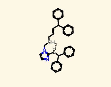 B(c1nccn1C[SiH2]CC=CC(c1ccccc1)c1ccccc1)C(c1ccccc1)c1ccccc1